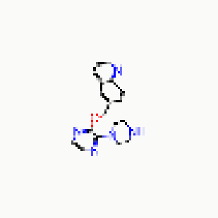 c1cnc2ccc(COc3nccnc3N3CCNCC3)cc2c1